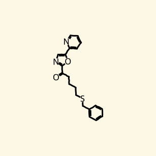 O=C(CCCCSCc1ccccc1)c1ncc(-c2ccccn2)o1